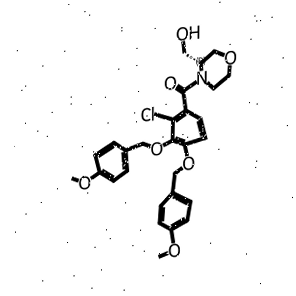 COc1ccc(COc2ccc(C(=O)N3CCOC[C@H]3CO)c(Cl)c2OCc2ccc(OC)cc2)cc1